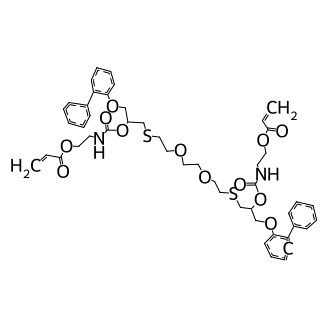 C=CC(=O)OCCNC(=O)OC(COc1ccccc1-c1ccccc1)CSCCOCCOCCSCC(COc1ccccc1-c1ccccc1)OC(=O)NCCOC(=O)C=C